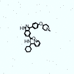 CN1CCC(Oc2ccc(-c3n[nH]c4ccc(C(=O)NC(c5ccccn5)C5CCCCC5)cc34)cc2)CC1